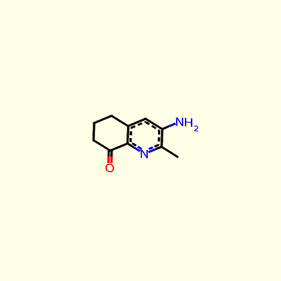 Cc1nc2c(cc1N)CCCC2=O